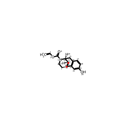 C=COC(=O)N1CC[C@]23CCCC[C@H]2[C@H]1Cc1ccc(O)cc13